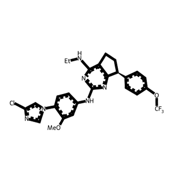 CCNc1nc(Nc2ccc(-n3cnc(Cl)c3)c(OC)c2)nc2c1CC[C@H]2c1ccc(OC(F)(F)F)cc1